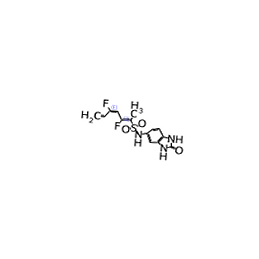 C=C/C(F)=C\C(F)=C(/C)S(=O)(=O)Nc1ccc2[nH]c(=O)[nH]c2c1